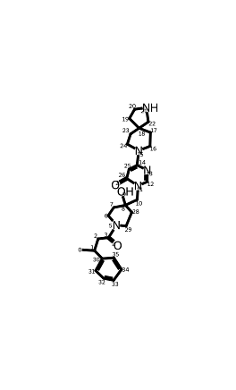 CC(CC(=O)N1CCC(O)(Cn2cnc(N3CCC4(CCNC4)CC3)cc2=O)CC1)c1ccccc1